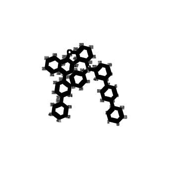 c1ccc(-c2ccc(-c3cccc(N(c4ccccc4)c4cccc5oc6c7ccccc7c(-c7ccc(-c8ccccc8)cc7)cc6c45)c3)cc2)cc1